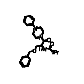 CC(C)C(=O)NC(COCc1ccccc1)C(=O)N1CCN(c2ccccc2)CC1